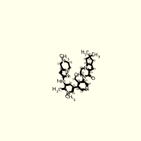 C=C1C(Nc2cc3n(n2)CCN(C)C3)=CC(c2cncc(N3CCn4c(cc5c4CC(C)(C)C5)C3=O)c2CO)=CN1C